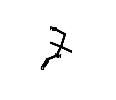 CC(C)(CO)NC=O